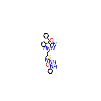 O=C(NC1=NCC(CCNc2ncnc3oc(-c4ccccc4)c(-c4ccccc4)c23)S1)Nc1ccccc1